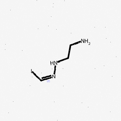 NCCN/N=C\I